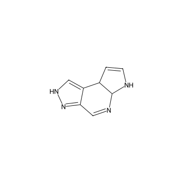 C1=CC2c3c[nH]nc3C=NC2N1